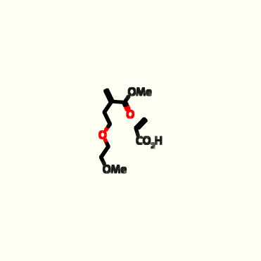 C=C(CCOCCOC)C(=O)OC.C=CC(=O)O